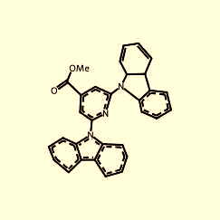 COC(=O)c1cc(N2c3ccccc3C3C=CC=CC32)nc(-n2c3ccccc3c3ccccc32)c1